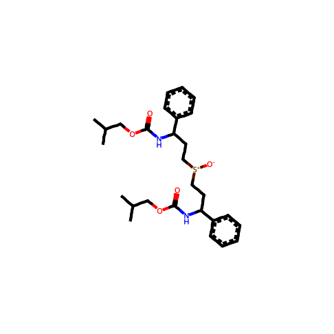 CC(C)COC(=O)NC(CC[S+]([O-])CCC(NC(=O)OCC(C)C)c1ccccc1)c1ccccc1